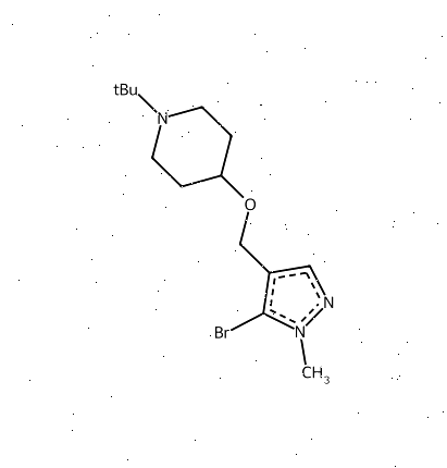 Cn1ncc(COC2CCN(C(C)(C)C)CC2)c1Br